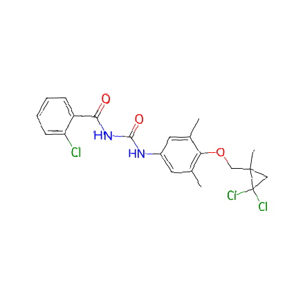 Cc1cc(NC(=O)NC(=O)c2ccccc2Cl)cc(C)c1OCC1(C)CC1(Cl)Cl